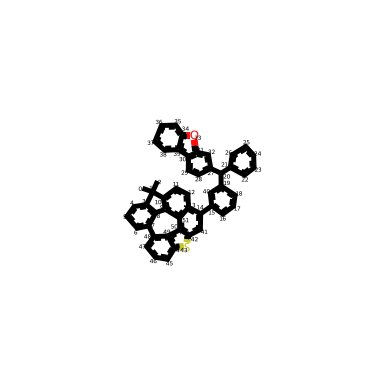 CC1(C)c2cccc3c2-c2c1ccc1c(-c4cccc(C(c5ccccc5)c5ccc6c(c5)oc5ccccc56)c4)cc4sc5cccc-3c5c4c21